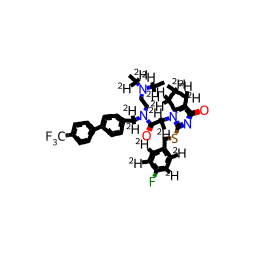 [2H]c1c([2H])c(CSc2nc(=O)c3c(n2C([2H])([2H])C(=O)N(CCN(C([2H])([2H])C)C([2H])([2H])C)C([2H])([2H])c2ccc(-c4ccc(C(F)(F)F)cc4)cc2)C([2H])([2H])C([2H])(C)C3([2H])[2H])c([2H])c([2H])c1F